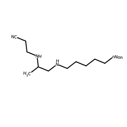 CCCCCCCCCCCCCCNCC(C)NCCC#N